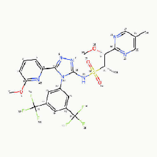 COc1cccc(-c2nnc(NS(=O)(=O)[C@@H](C)[C@H](OC)c3ncc(C)cn3)n2-c2cc(C(F)(F)F)cc(C(F)(F)F)c2)n1